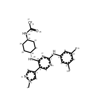 Cn1cc(-c2cnc(Nc3cc(F)cc(F)c3)nc2N[C@H]2CC[C@H](NC(=O)C(F)(F)F)CC2)cn1